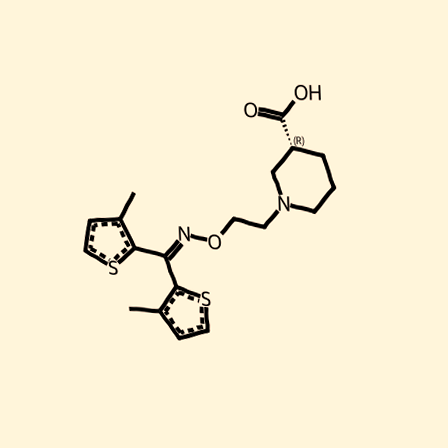 Cc1ccsc1C(=NOCCN1CCC[C@@H](C(=O)O)C1)c1sccc1C